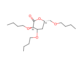 CCCCOC[C@@H]1CC(OCCCC)[C@@H](OCCCC)C(=O)O1